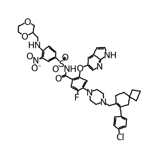 O=C(NS(=O)(=O)c1ccc(NCC2COCCO2)c([N+](=O)[O-])c1)c1cc(F)c(N2CCN(CC3=C(c4ccc(Cl)cc4)CC4(CCC4)CC3)CC2)cc1Oc1cnc2[nH]ccc2c1